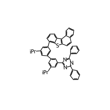 CC(C)c1cc(-c2cc(-c3cccc4c3sc3ccc5ccccc5c34)cc(C(C)C)c2)cc(-c2nc(-c3ccccc3)nc(-c3ccccc3)n2)c1